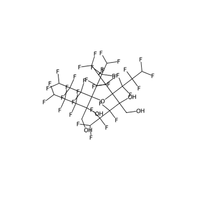 OCC(O)(C(F)(F)C(F)(F)C(F)F)C(OC(C(F)(F)C(F)(F)C(F)F)(C(F)(F)C(F)(F)C(F)F)C(O)(CO)C(F)(F)C(F)(F)C(F)F)(C(F)(F)C(F)(F)C(F)F)C(F)(F)C(F)(F)C(F)F